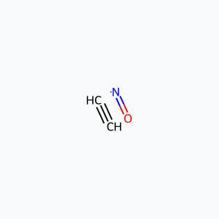 C#C.[N]=O